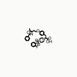 Cc1oc(-c2ccccc2)nc1CCOc1ccc(C[C@@H](C(=O)O)N2CCN(S(=O)(=O)c3ccccc3F)CC2)cc1